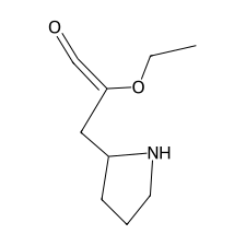 CCOC(=C=O)CC1CCCN1